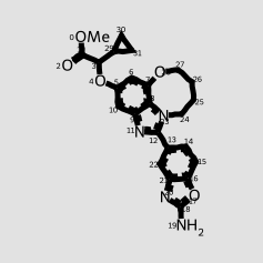 COC(=O)C(Oc1cc2c3c(c1)nc(-c1ccc4oc(N)nc4c1)n3CCCCO2)C1CC1